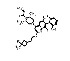 C=CC(=O)N1[C@H](C)CN(c2nc(OCCN3CC(C)(F)C3)nc3c(F)c(-c4c(O)cccc4F)c(Cl)cc23)C[C@@H]1C